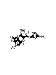 CC(=O)N1C[C@H]2OC(CSc3nnc(N)s3)=C(C(=O)O)N3C(=O)[C@@H]1[C@@H]23.[NaH]